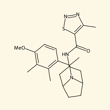 COc1ccc(C(C)N2C3CCC2CC(NC(=O)c2snnc2C)C3)c(C)c1C